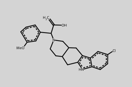 C=C(O)C(c1cccc(OC)c1)N1CCC2Cc3[nH]c4ccc(Cl)cc4c3CC2C1